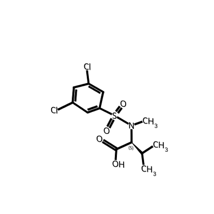 CC(C)[C@@H](C(=O)O)N(C)S(=O)(=O)c1cc(Cl)cc(Cl)c1